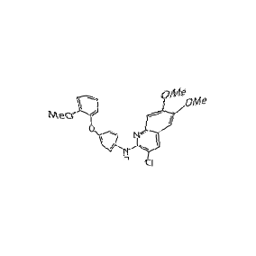 COc1cc2cc(Cl)c(Nc3ccc(Oc4ccccc4OC)cc3)nc2cc1OC